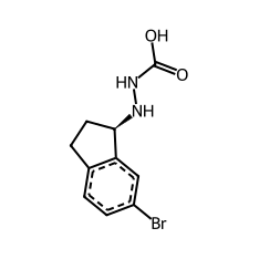 O=C(O)NN[C@@H]1CCc2ccc(Br)cc21